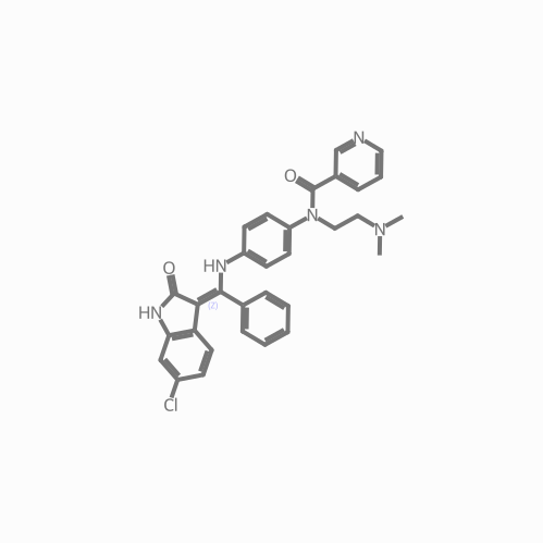 CN(C)CCN(C(=O)c1cccnc1)c1ccc(N/C(=C2\C(=O)Nc3cc(Cl)ccc32)c2ccccc2)cc1